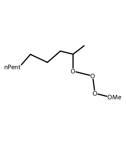 CCCCCCCCC(C)OOOOC